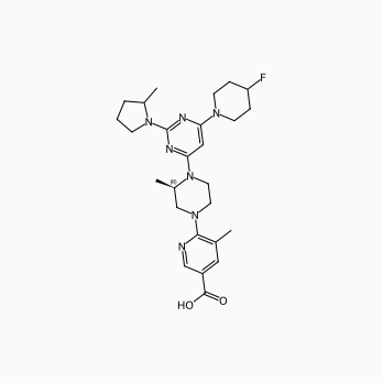 Cc1cc(C(=O)O)cnc1N1CCN(c2cc(N3CCC(F)CC3)nc(N3CCCC3C)n2)[C@H](C)C1